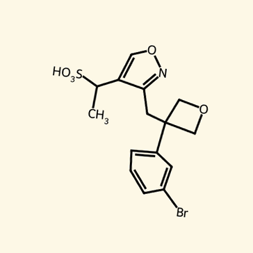 CC(c1conc1CC1(c2cccc(Br)c2)COC1)S(=O)(=O)O